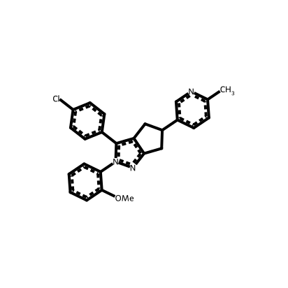 COc1ccccc1-n1nc2c(c1-c1ccc(Cl)cc1)CC(c1ccc(C)nc1)C2